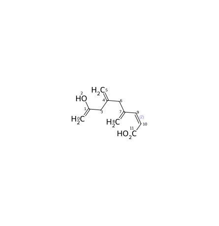 C=C(O)CC(=C)CC(=C)/C=C\C(=O)O